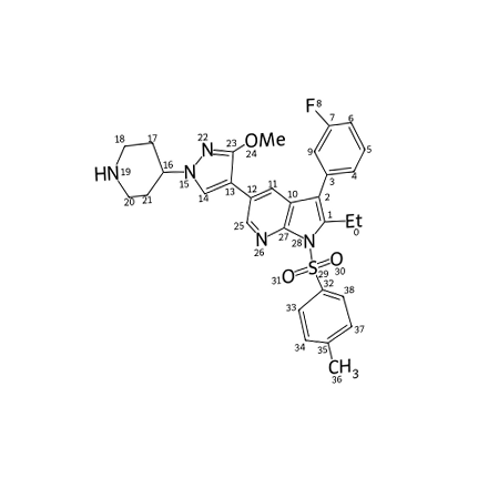 CCc1c(-c2cccc(F)c2)c2cc(-c3cn(C4CCNCC4)nc3OC)cnc2n1S(=O)(=O)c1ccc(C)cc1